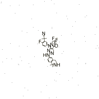 CC(C)(C#N)c1cc(-n2c3nc(Nc4ccc5c(c4)CCNC5(C)C)ncc3c(=O)n2CC(F)(F)F)ccc1F